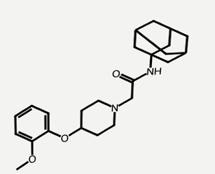 COc1ccccc1OC1CCN(CC(=O)NC23CC4CC(CC(C4)C2)C3)CC1